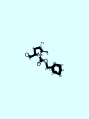 C[C@@H]1[C@@H](C)CC(C=O)N1C(=O)OCc1ccccc1